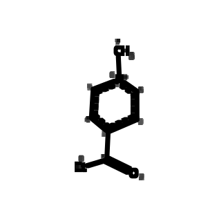 CCC(=O)c1cc[n+](C)cc1